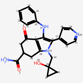 NC(=O)C1CC(=O)c2c(Nc3ccccc3)c(-c3ccncc3)n(CC3(O)CC3)c2C1